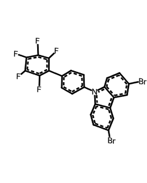 Fc1c(F)c(F)c(-c2ccc(-n3c4ccc(Br)cc4c4cc(Br)ccc43)cc2)c(F)c1F